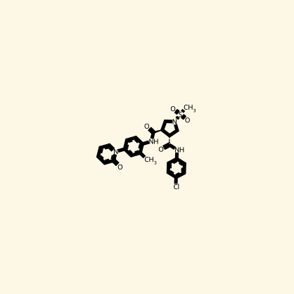 Cc1cc(-n2ccccc2=O)ccc1NC(=O)[C@H]1CN(S(C)(=O)=O)C[C@@H]1C(=O)Nc1ccc(Cl)cc1